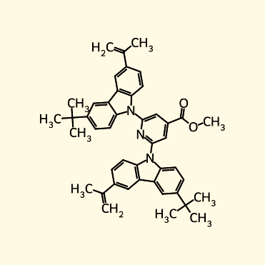 C=C(C)c1ccc2c(c1)c1cc(C(C)(C)C)ccc1n2-c1cc(C(=O)OC)cc(-n2c3ccc(C(=C)C)cc3c3cc(C(C)(C)C)ccc32)n1